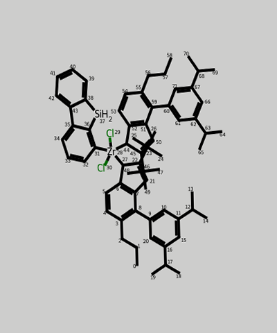 CCCc1ccc2c(c1-c1cc(C(C)C)cc(C(C)C)c1)C=C(C(C)(C)C)[CH]2[Zr]([Cl])([Cl])([c]1cccc2c1[SiH2]c1ccccc1-2)[CH]1C(C(C)(C)C)=Cc2c1ccc(CCC)c2-c1cc(C(C)C)cc(C(C)C)c1